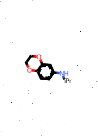 CC(C)Nc1ccc2c(c1)OCCO2